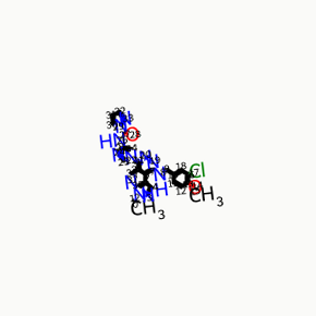 CCn1ncc2c3c(NCc4ccc(OC)c(Cl)c4)nnc(-n4cnc(NC(=O)n5cccn5)c4)c3cnc21